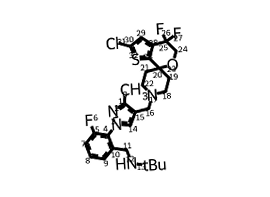 Cc1nn(-c2c(F)cccc2CNC(C)(C)C)cc1CN1CCC2(CC1)OCC(F)(F)c1cc(Cl)sc12